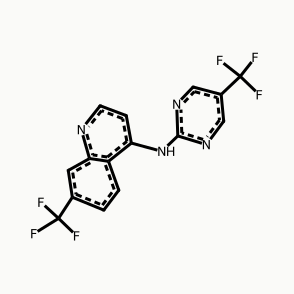 FC(F)(F)c1cnc(Nc2ccnc3cc(C(F)(F)F)ccc23)nc1